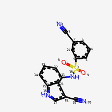 N#Cc1cccc(S(=O)(=O)Nc2cccc3[nH]cc(C#N)c23)c1